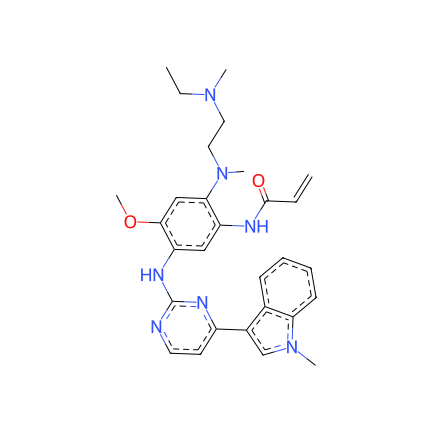 C=CC(=O)Nc1cc(Nc2nccc(-c3cn(C)c4ccccc34)n2)c(OC)cc1N(C)CCN(C)CC